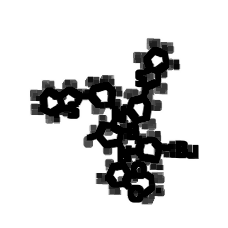 Cc1cc2c3c(c1)N(c1cccc4c1OCCCO4)c1ccc(C(C)(C)C)cc1B3c1ccc(-c3cc4ccccc4s3)cc1N2c1cccc(-c2cc3ccccc3s2)c1